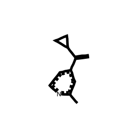 C=C(c1ccnc(C)c1)C1CC1